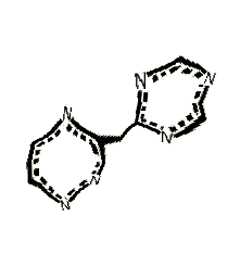 c1cnc(-c2ncncn2)nn1